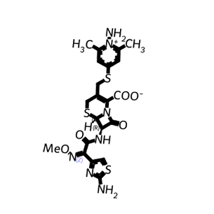 CO/N=C(\C(=O)N[C@@H]1C(=O)N2C(C(=O)[O-])=C(CSc3cc(C)[n+](N)c(C)c3)CS[C@H]12)c1csc(N)n1